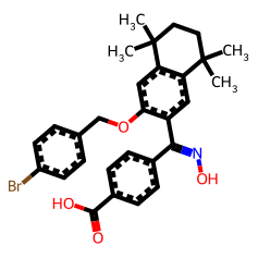 CC1(C)CCC(C)(C)c2cc(C(=NO)c3ccc(C(=O)O)cc3)c(OCc3ccc(Br)cc3)cc21